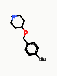 CC(C)(C)c1ccc(COC2CC[N]CC2)cc1